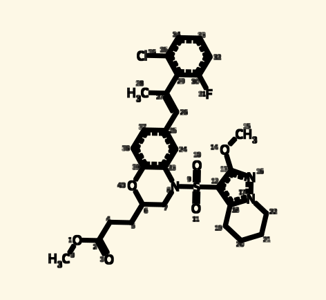 COC(=O)CCC1CN(S(=O)(=O)c2c(OC)nn3c2CCCC3)c2cc(/C=C(\C)c3c(F)cccc3Cl)ccc2O1